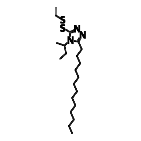 CCCCCCCCCCCCCc1nnc(SSCC)n1C(C)CC